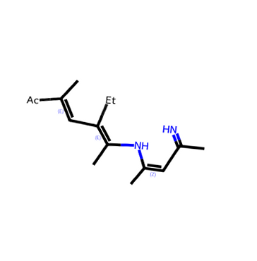 CCC(/C=C(\C)C(C)=O)=C(/C)N/C(C)=C\C(C)=N